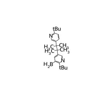 Bc1cc(C(C)(C)C(C)(C)c2ccc(C(C)(C)C)nc2)cnc1C(C)(C)C